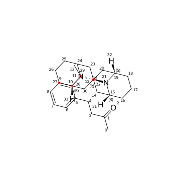 CC(=O)CCc1ccccc1N(C)[C@H]1C[C@H]2CCC[C@@H](C1)N2[C@@H]1CC2CCC[C@H](C2)C1